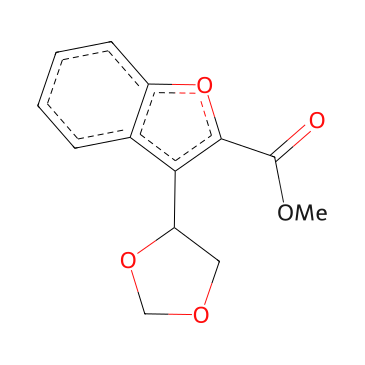 COC(=O)c1oc2ccccc2c1C1COCO1